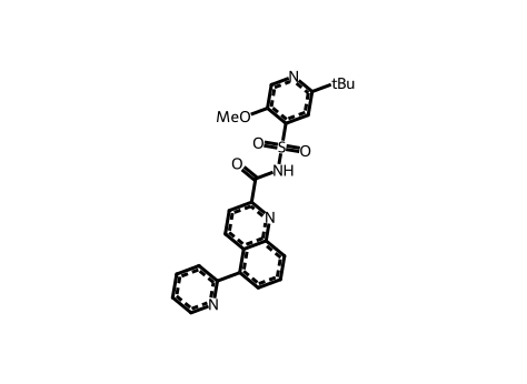 COc1cnc(C(C)(C)C)cc1S(=O)(=O)NC(=O)c1ccc2c(-c3ccccn3)cccc2n1